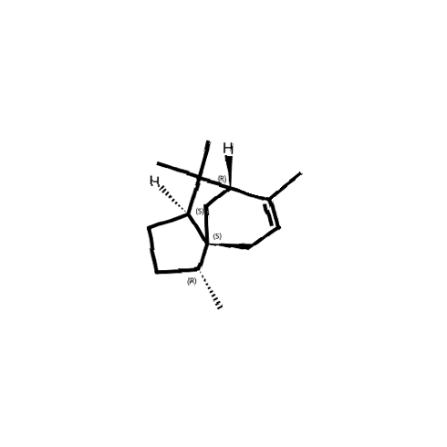 CC1=CC[C@]23C[C@@H]1C(C)(C)[C@@H]2CC[C@H]3C